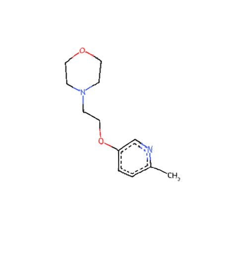 Cc1ccc(OCCN2CCOCC2)cn1